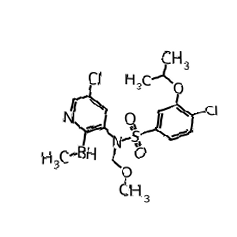 CBc1ncc(Cl)cc1N(COC)S(=O)(=O)c1ccc(Cl)c(OC(C)C)c1